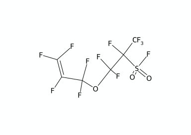 O=S(=O)(F)C(F)(C(F)(F)F)C(F)(F)OC(F)(F)C(F)=C(F)F